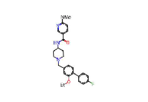 CCOc1cc(CN2CCC(NC(=O)c3ccc(NC)nc3)CC2)ccc1-c1ccc(F)cc1